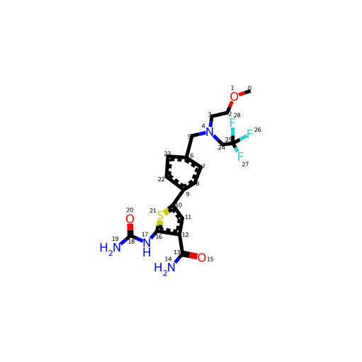 COCCN(Cc1ccc(-c2cc(C(N)=O)c(NC(N)=O)s2)cc1)CC(F)(F)F